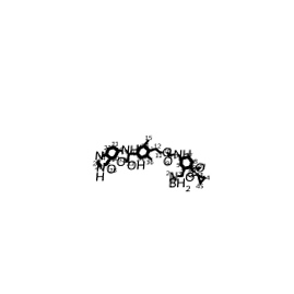 BN(C)Cc1cc(NC(=O)OCCc2c(C)cc(C(Nc3ccc4nc[nH]c(=O)c4c3)C(=O)O)cc2C)ccc1S(=O)(=O)C1CC1